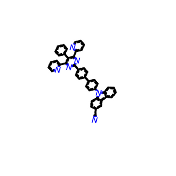 N#Cc1ccc2c(c1)c1ccccc1n2-c1ccc(-c2ccc(-c3nc(-c4ccccn4)c(-c4ccccc4)c(-c4ccccn4)n3)cc2)cc1